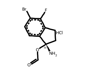 Cl.N[C@]1(OC=O)CCc2c1ccc(Br)c2F